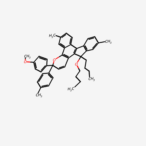 CCCCOC1(CCCC)c2cc(C)ccc2-c2c1c1c(c3cc(C)ccc23)OC(c2ccc(C)cc2)(c2ccc(OC)cc2)C=C1